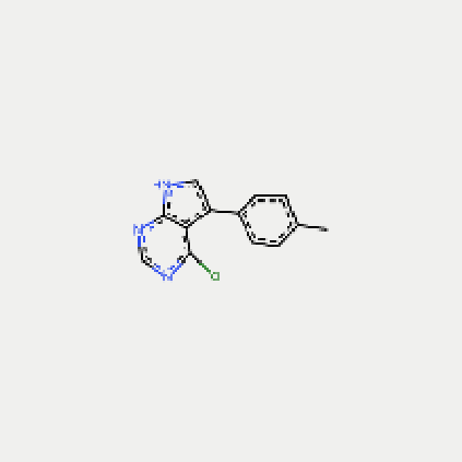 Cc1ccc(-c2c[nH]c3ncnc(Cl)c23)cc1